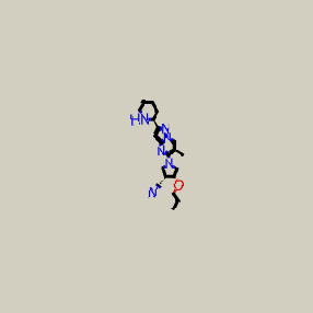 CCCO[C@H]1CN(c2nc3cc([C@@H]4CCCCN4)nn3cc2C)C[C@H]1C#N